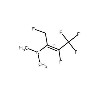 CN(C)/C(CF)=C(\F)C(F)(F)F